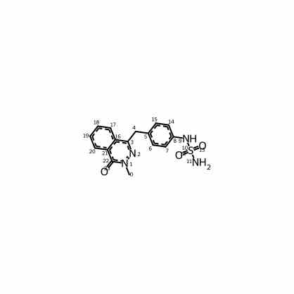 Cn1nc(Cc2ccc(NS(N)(=O)=O)cc2)c2ccccc2c1=O